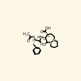 CC(=O)S[C@@H](Cc1ccccc1)C(=O)N[C@@H]1C(=O)N2CCCCN2CC[C@@H]1C(=O)O